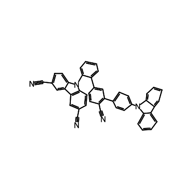 N#Cc1ccc2c(c1)c1cc(C#N)ccc1n2-c1ccccc1-c1ccc(C#N)c(-c2ccc(-n3c4ccccc4c4ccccc43)cc2)c1